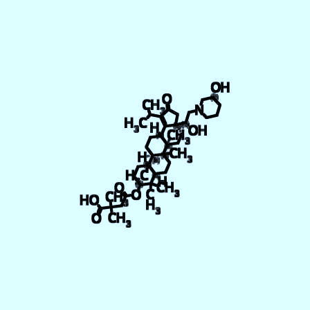 CC(C)C1=C2[C@H]3CC[C@@H]4[C@@]5(C)CC[C@H](OC(=O)CC(C)(C)C(=O)O)C(C)(C)[C@@H]5CC[C@@]4(C)[C@]3(C)CC[C@@]2([C@@H](O)CN2CCC[C@@H](O)C2)CC1=O